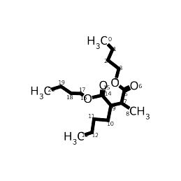 CCCCOC(=O)C(C)C(CCCC)C(=O)OCCCC